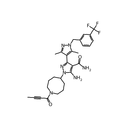 CC#CC(=O)N1CCCC(n2nc(-c3c(C)nn(Cc4cccc(C(F)(F)F)c4)c3C)c(C(N)=O)c2N)CCC1